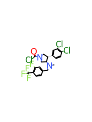 CN(Cc1ccc(C(F)(F)F)c(F)c1)[C@H]1CN(C(=O)Cl)C[C@@H]1c1ccc(Cl)c(Cl)c1